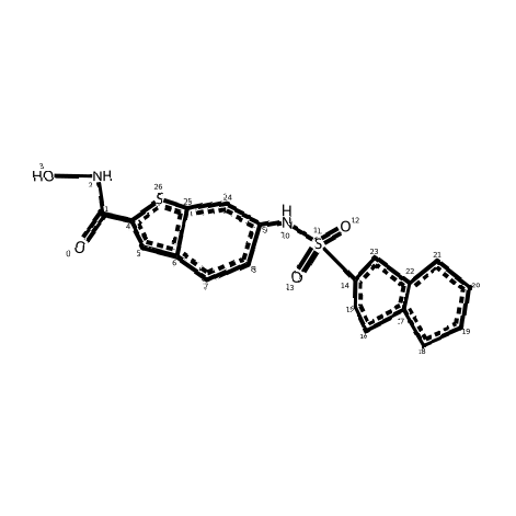 O=C(NO)c1cc2ccc(NS(=O)(=O)c3ccc4ccccc4c3)cc2s1